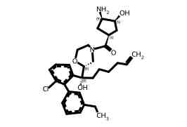 C=CCCCC[C@@](O)(c1cccc(Cl)c1-c1cccc(CC)c1)[C@H]1CN(C(=O)[C@H]2C[C@@H](N)[C@@H](O)C2)CCO1